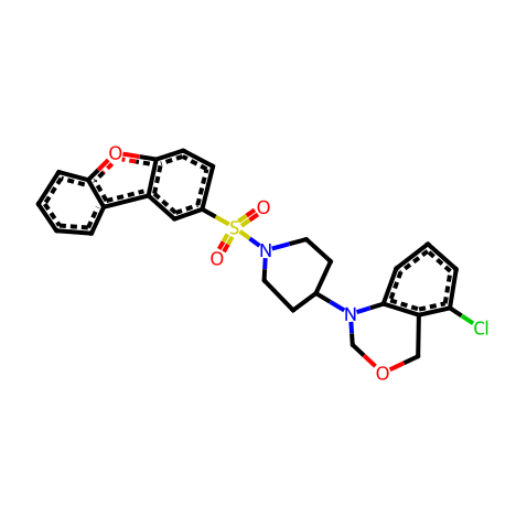 O=S(=O)(c1ccc2oc3ccccc3c2c1)N1CCC(N2COCc3c(Cl)cccc32)CC1